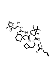 C=CCNC(=O)C(=O)C(CC1CCC1)NC(=O)[C@@H]1[C@@H]2[C@H](CN1C(=O)[C@@H](NC(=O)N[C@H](CS(=O)(=O)N(C)C(C)(C)C)C(C)C)C1(C)CCCCC1)C2(C)C